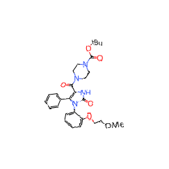 COCCOc1ccccc1-n1c(-c2ccccc2)c(C(=O)N2CCN(C(=O)OC(C)(C)C)CC2)[nH]c1=O